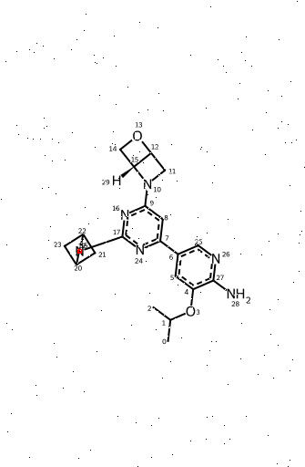 CC(C)Oc1cc(-c2cc(N3CC4OC[C@H]43)nc(N3CC4CC3C4)n2)cnc1N